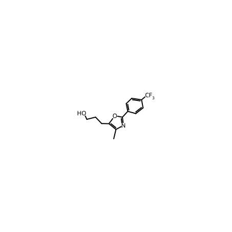 Cc1nc(-c2ccc(C(F)(F)F)cc2)oc1CCCO